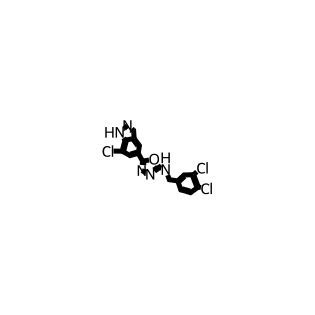 Clc1ccc(CNc2nnc(-c3cc(Cl)c4[nH]ncc4c3)o2)cc1Cl